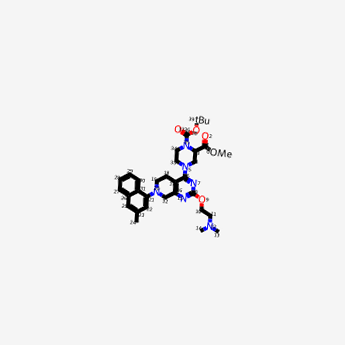 COC(=O)C1CN(c2nc(OCCN(C)C)nc3c2CCN(c2cc(C)cc4ccccc24)C3)CCN1C(=O)OC(C)(C)C